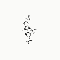 CCS(=O)(=O)c1cc(C(=O)N(C)C)cnc1-c1nc2cc(C(F)(F)F)cnc2n1C